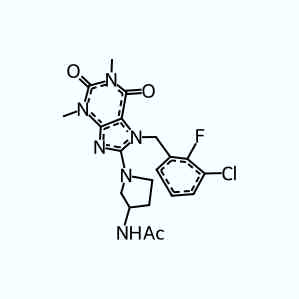 CC(=O)NC1CCN(c2nc3c(c(=O)n(C)c(=O)n3C)n2Cc2cccc(Cl)c2F)C1